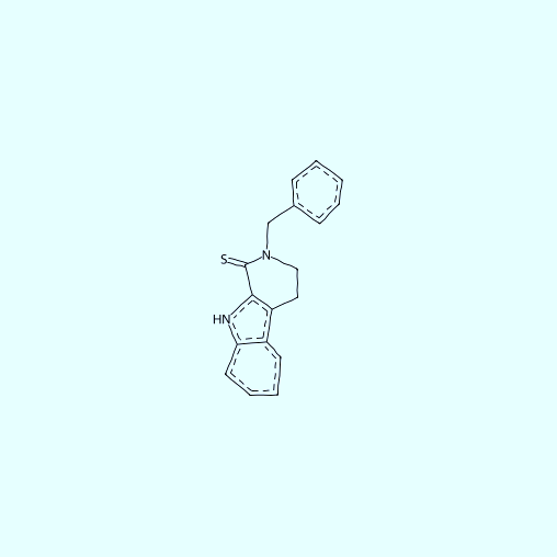 S=C1c2[nH]c3ccccc3c2CCN1Cc1ccccc1